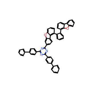 c1ccc(-c2ccc(-c3nc(-c4ccc(-c5ccccc5)cc4)nc(-c4ccc5c(c4)oc4cccc(-c6ccccc6-c6cccc7c6oc6ccccc67)c45)n3)cc2)cc1